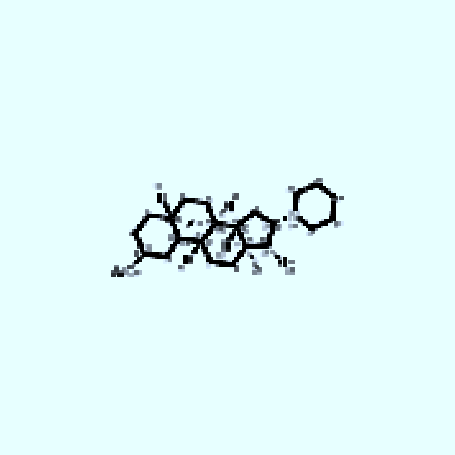 CC(=O)O[C@@H]1CC[C@@H]2CC[C@@H]3[C@H](CC[C@]4(C)[C@@H](O)[C@@H](N5CCCCC5)C[C@@H]34)[C@@]2(C)C1